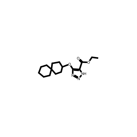 CCOC(=O)c1[nH]nnc1OC1CCC2(CCCCC2)CC1